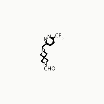 O=CN1CC2(C1)CN(Cc1ccc(C(F)(F)F)nn1)C2